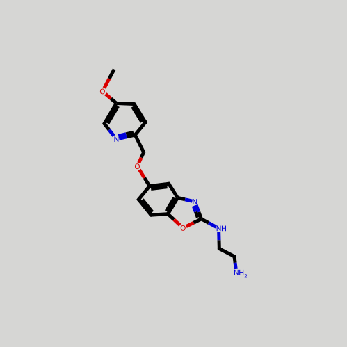 COc1ccc(COc2ccc3oc(NCCN)nc3c2)nc1